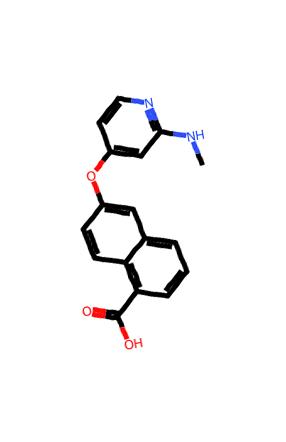 CNc1cc(Oc2ccc3c(C(=O)O)cccc3c2)ccn1